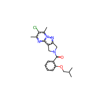 Cc1nc2c3c(nn2c(C)c1Cl)CN(C(=O)c1ccccc1OCC(C)C)C3